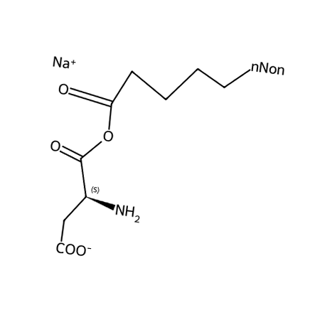 CCCCCCCCCCCCCC(=O)OC(=O)[C@@H](N)CC(=O)[O-].[Na+]